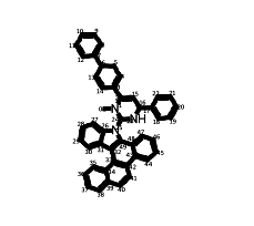 CN1C(C2=CCC(c3ccccc3)C=C2)=CC(c2ccccc2)NC1n1c2ccccc2c2c3c4ccccc4ccc3c3ccccc3c21